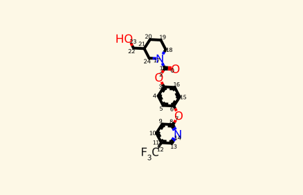 O=C(Oc1ccc(Oc2ccc(C(F)(F)F)cn2)cc1)N1CCCC(CO)C1